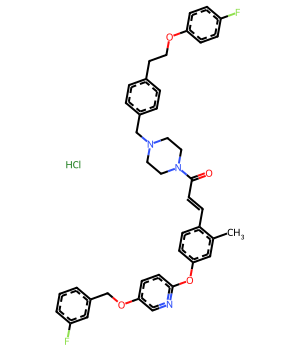 Cc1cc(Oc2ccc(OCc3cccc(F)c3)cn2)ccc1C=CC(=O)N1CCN(Cc2ccc(CCOc3ccc(F)cc3)cc2)CC1.Cl